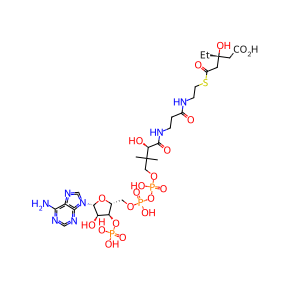 CC[C@@](O)(CC(=O)O)CC(=O)SCCNC(=O)CCNC(=O)[C@H](O)C(C)(C)COP(=O)(O)OP(=O)(O)OC[C@H]1O[C@@H](n2cnc3c(N)ncnc32)[C@H](O)[C@@H]1OP(=O)(O)O